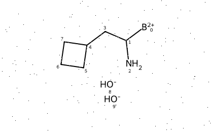 [B+2]C(N)CC1CCC1.[OH-].[OH-]